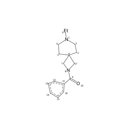 CCN1CCC2(CC1)CN(C(=O)c1ccccc1)C2